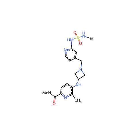 CCNS(=O)(=O)Nc1cc(CN2CC(Nc3ccc(C(=O)NC)nc3C)C2)ccn1